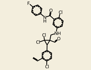 C=Cc1cc(C2C(Cl)(Cl)C2(C=O)CNc2ccc(Cl)c(C(=O)Nc3ccc(F)cc3)c2)ccc1Cl